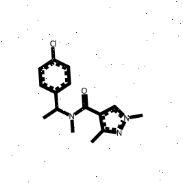 Cc1nn(C)cc1C(=O)N(C)C(C)c1ccc(Cl)cc1